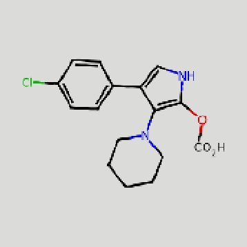 O=C(O)Oc1[nH]cc(-c2ccc(Cl)cc2)c1N1CCCCC1